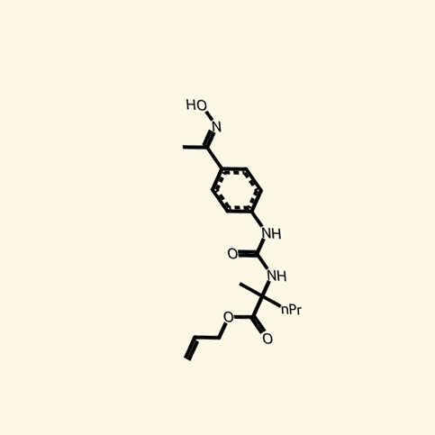 C=CCOC(=O)C(C)(CCC)NC(=O)Nc1ccc(/C(C)=N/O)cc1